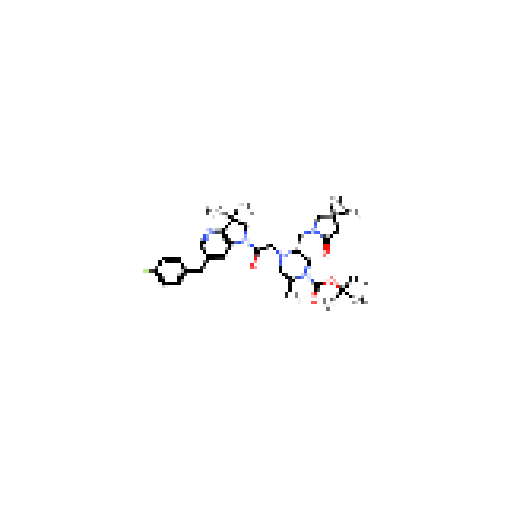 CC1CN(CC(=O)N2CC(C)(C)c3ncc(Cc4ccc(F)cc4)cc32)[C@@H](CN2CC(C)(C)CC2=O)CN1C(=O)OC(C)(C)C